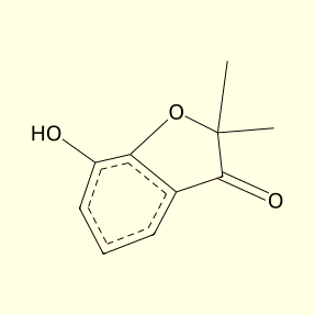 CC1(C)Oc2c(O)cccc2C1=O